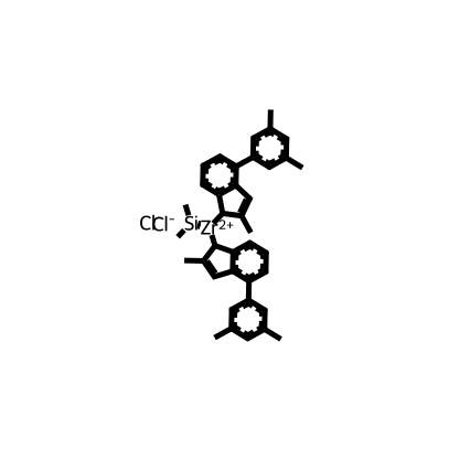 CC1=Cc2c(-c3cc(C)cc(C)c3)cccc2[CH]1[Zr+2]([CH]1C(C)=Cc2c(-c3cc(C)cc(C)c3)cccc21)=[Si](C)C.[Cl-].[Cl-]